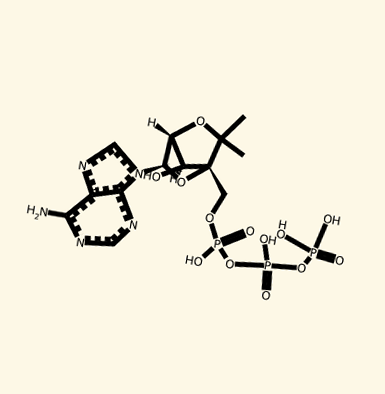 CC1(C)O[C@H]2[C@H](n3cnc4c(N)ncnc43)O[C@]1(COP(=O)(O)OP(=O)(O)OP(=O)(O)O)[C@H]2O